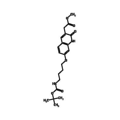 COC(=O)Cc1cc2ccc(OCCCCNC(=O)OC(C)(C)C)cc2[nH]c1=O